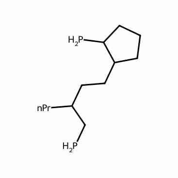 CCCC(CP)CCC1CCCC1P